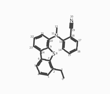 CCc1cccc2c1sc1c(N(C)c3ccccc3C#N)cccc12